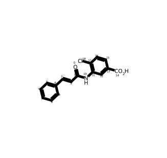 O=C(/C=C/c1ccccc1)Nc1cc(C(=O)O)ccc1Cl